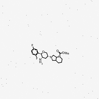 COC(=O)N1CCCC2CN([C@H]3CO[C@H](c4cc(F)ccc4F)[C@@H](N)C3)CC21